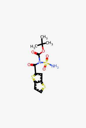 CC(C)(C)OC(=O)N(C(=O)c1cc2sccc2s1)S(N)(=O)=O